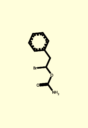 NC(=O)OC(Br)Cc1ccccc1